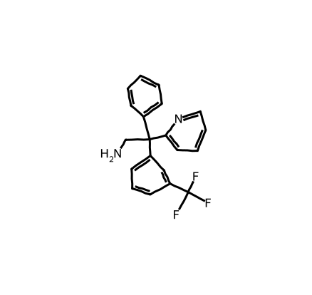 NCC(c1ccccc1)(c1cccc(C(F)(F)F)c1)c1ccccn1